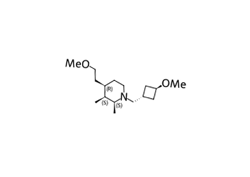 COCC[C@H]1CCN(C[C@H]2C[C@H](OC)C2)[C@@H](C)[C@H]1C